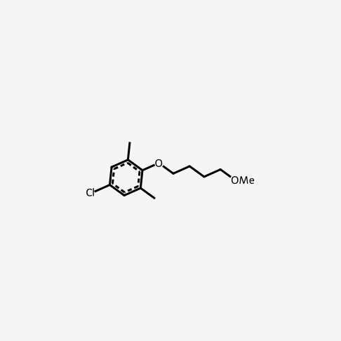 COCCCCOc1c(C)cc(Cl)cc1C